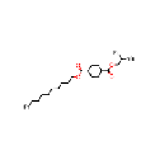 CCCCC(CC)COC(=O)C1CCC(C(=O)OCCCCCCCCCC(C)C)CC1